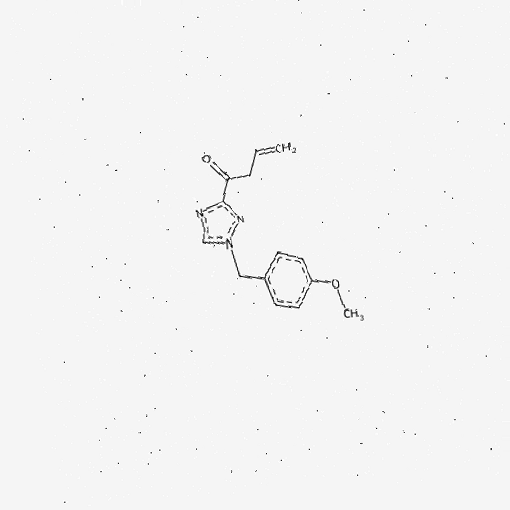 C=CCC(=O)c1ncn(Cc2ccc(OC)cc2)n1